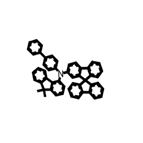 CC1(C)c2ccccc2-c2c(N(c3ccc(-c4ccccc4)cc3)c3ccc4c(c3)C3(c5ccccc5-c5ccccc53)c3ccccc3-4)cccc21